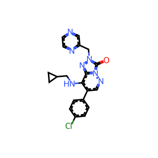 O=c1n(Cc2cnccn2)nc2c(NCC3CC3)c(-c3ccc(Cl)cc3)cnn12